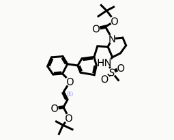 CC(C)(C)OC(=O)/C=C/Oc1ccccc1-c1cccc(CC2C(NS(C)(=O)=O)CCCN2C(=O)OC(C)(C)C)c1